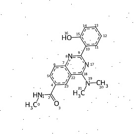 CNC(=O)c1ccc2nc(-c3ccccc3O)nc(N(C)C)c2c1